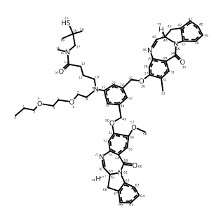 CCCOCCOCCN(CCCC(=O)N(C)CC(C)(C)S)c1cc(COc2cc3c(cc2C)C(=O)N2c4ccccc4C[C@H]2C=N3)cc(COc2cc3c(cc2OC)C(=O)N2c4ccccc4C[C@H]2C=N3)c1